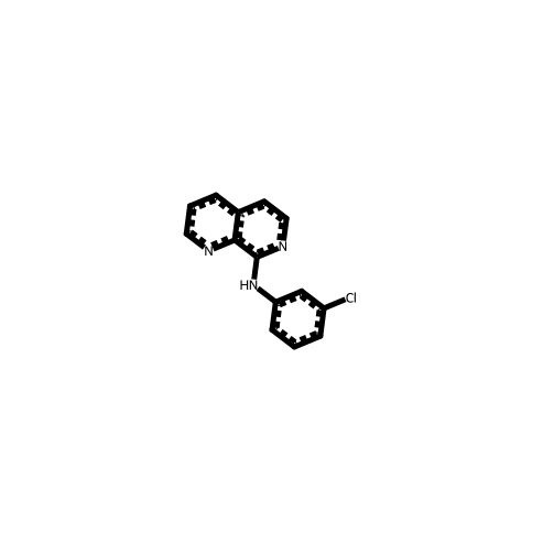 Clc1cccc(Nc2nccc3cccnc23)c1